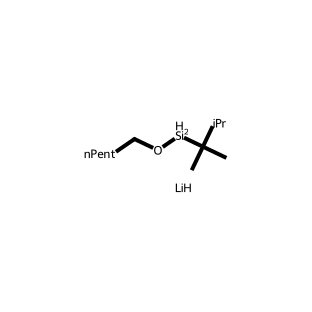 [CH2]CCCCCO[SiH2]C(C)(C)C(C)C.[LiH]